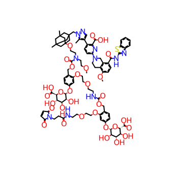 COCCN(CCOC12CC3(C)CC(C)(CC(Cn4ncc(-c5ccc(N6CCc7c(OC)ccc(C(=O)Nc8nc9ccccc9s8)c7C6)nc5C(=O)O)c4C)(C3)C1)C2)C(=O)OCc1ccc(O[C@@H]2O[C@H](C(=O)O)[C@@H](O)[C@H](O)[C@H]2O)cc1OCCOCCNC(=O)OCc1ccc(O[C@@H]2O[C@H](C(=O)O)[C@@H](O)[C@H](O)[C@H]2O)cc1OCCOCCNC(=O)CCN1C(=O)C=CC1=O